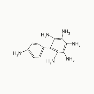 Nc1ccc(-c2c(N)c(N)c(N)c(N)c2N)cc1